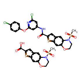 CS(=O)(=O)N1CCOc2cc3sc(C(=O)Nc4cc(Cl)nc(Oc5ccc(Cl)cc5)c4)cc3cc21.CS(=O)(=O)N1CCOc2cc3sc(C(=O)O)cc3cc21